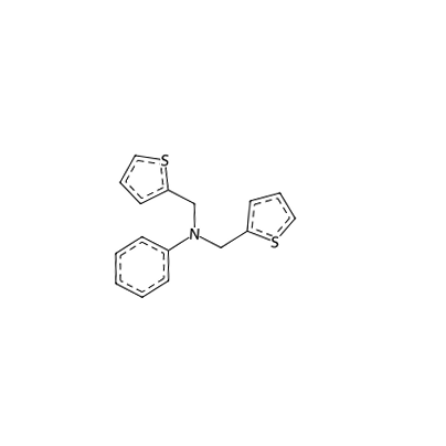 c1ccc(N(Cc2cccs2)Cc2cccs2)cc1